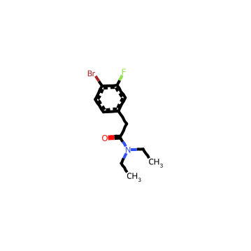 CCN(CC)C(=O)Cc1ccc(Br)c(F)c1